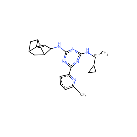 C[C@@H](Nc1nc(NC2C=C3C4CC3CC2C4)nc(-c2cccc(C(F)(F)F)n2)n1)C1CC1